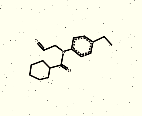 CCc1ccc(N(CC=O)C(=O)C2CCCCC2)cc1